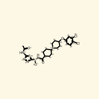 CC(=O)Nc1nnc([S+]([O-])NC(=O)C2CCC(N3CCC(Oc4ccc(Cl)c(Cl)c4)CC3)CC2)s1